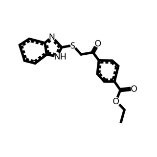 CCOC(=O)c1ccc(C(=O)CSc2nc3ccccc3[nH]2)cc1